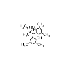 C=CCC(C)(C)C(c1cc(C)cc(C)c1O)c1cc(C)cc(C)c1O